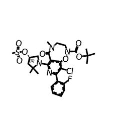 CN1CCN(C(=O)OC(C)(C)C)Oc2c(Cl)c(-c3ccccc3F)nc(N3C[C@@H](OS(C)(=O)=O)CC3(C)C)c2C1=O